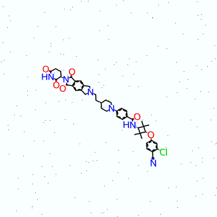 CC1(C)[C@H](NC(=O)c2ccc(N3CCC(CCN4Cc5cc6c(cc5C4)C(=O)N([C@@H]4CCC(=O)NC4=O)C6=O)CC3)cc2)C(C)(C)[C@H]1Oc1ccc(C#N)c(Cl)c1